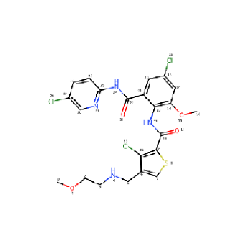 COCCNCc1csc(C(=O)Nc2c(OC)cc(Cl)cc2C(=O)Nc2ccc(Cl)cn2)c1Cl